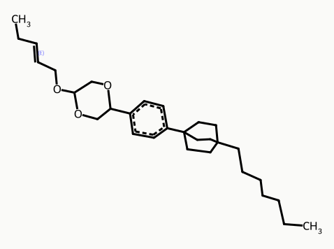 CC/C=C/COC1COC(c2ccc(C34CCC(CCCCCCC)(CC3)CC4)cc2)CO1